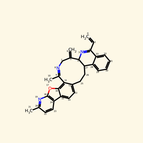 C=CC1=NC2C(=C)C/N=C(/C)c3c(ccc4c3oc3nc(C)ccc34)CCC2c2ccccc21